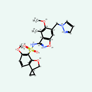 COc1ccc2c(c1S(=O)(=O)Nc1noc3cc(Cn4cccn4)c(OC)c(C)c13)OCC21CC1